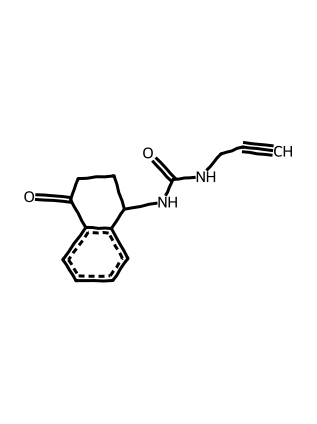 C#CCNC(=O)NC1CCC(=O)c2ccccc21